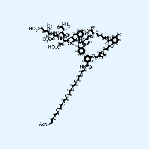 CC(=O)NCCOCCOCCOCCOCCOCCOCCOCCNC(=O)c1cccc(OCc2cn(CCCOc3ccc(C(C)=O)cc3C(=O)NCCCC[C@H](NC(=O)[C@H](CC(C)C)NC(=O)[C@H](Cc3ccccc3)NC(=O)[C@H](Cc3ccccc3)NC(=O)[C@H](CCC(=O)O)NC(=O)[C@H](CC(N)=O)NC(=O)[C@H](CC(=O)O)NC(=O)[C@@H](N)CCC(=O)O)C(N)=O)nn2)c1